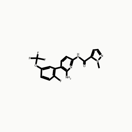 Cn1nccc1C(=O)Nc1ccc(-c2cc(OC(F)(F)F)ccc2F)c(N)n1